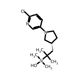 CC(C)(C[C@H]1CCN(c2ccc(Cl)nc2)C1)[Si](C)(C)O